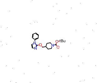 CC(C)(C)OC(=O)N1CCC(COc2nccn2-c2ccccc2)CC1